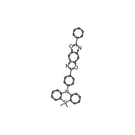 C[Si]1(C)c2ccccc2N(c2ccc(-c3nc4cc5oc(-c6ccccc6)nc5cc4o3)cc2)c2ccccc21